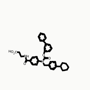 O=C(O)CCNC(=O)c1ccc(N(Cc2ccc(C3CCCCC3)cc2)C(=O)Oc2cccc(-c3ccccc3)c2)cc1